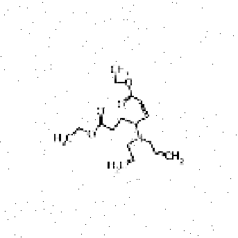 C=CCN(CC=C)[C@H](/C=C\C(=O)OCC)CCC(=O)OCC